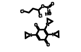 O=C1C=C(N2CC2)C(=O)C(N2CC2)=C1N1CC1.O=[PH](O)OC(Cl)CCCl